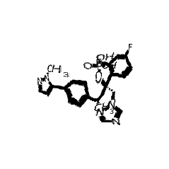 C[C@@H](c1ccc(-c2ccnn2C)cc1)[C@@](Cn1cncn1)(OP(=O)(O)O)c1ccc(F)cc1F